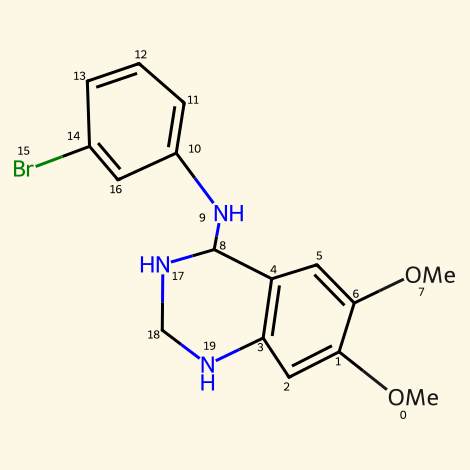 COc1cc2c(cc1OC)C(Nc1cccc(Br)c1)NCN2